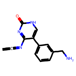 C=C=Nc1nc(=O)[nH]cc1-c1cccc(CN)c1